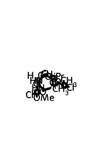 COc1ccc(C[C@H]2NC(=O)C=CC[C@@H]([C@H](C)C3OC3c3ccc(Cl)cc3C)OC(=O)[C@H](CC(C)C)OC(=O)C(C)(C)CNC2=O)cc1Cl